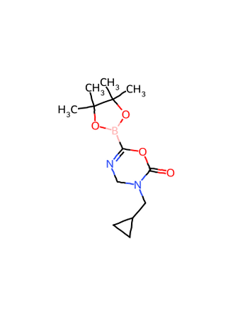 CC1(C)OB(C2=NCN(CC3CC3)C(=O)O2)OC1(C)C